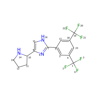 FC(F)(F)c1cc(-c2nc(C3CCCN3)c[nH]2)cc(C(F)(F)F)c1